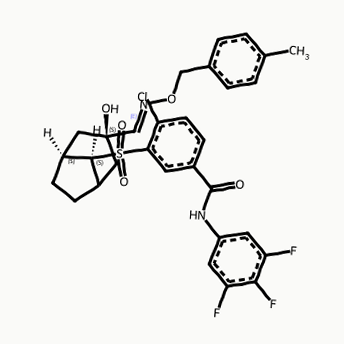 Cc1ccc(CO/N=C/[C@]2(O)CC3CC[C@@H](C2)[C@H]3S(=O)(=O)c2cc(C(=O)Nc3cc(F)c(F)c(F)c3)ccc2Cl)cc1